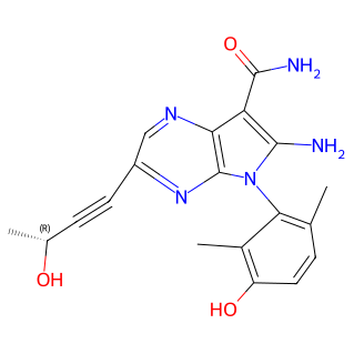 Cc1ccc(O)c(C)c1-n1c(N)c(C(N)=O)c2ncc(C#C[C@@H](C)O)nc21